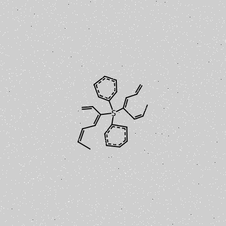 C=C/C=C(\C=C/C)S(/C(C=C)=C/C=C\C)(c1ccccc1)c1ccccc1